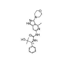 Cc1nc(NC(=O)N[C@@H](c2ccccc2)C(C)(C)O)cc2[nH]nc(N3CCOCC3)c12